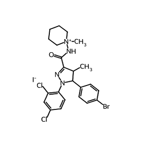 CC1C(C(=O)N[N+]2(C)CCCCC2)=NN(c2ccc(Cl)cc2Cl)C1c1ccc(Br)cc1.[I-]